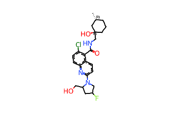 C[C@@H]1CCC[C@](O)(CNC(=O)c2c(Cl)ccc3nc(N4CC(F)CC4CO)ccc23)C1